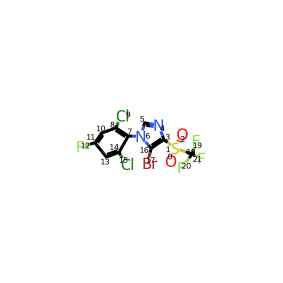 O=S(=O)(c1ncn(-c2c(Cl)cc(F)cc2Cl)c1Br)C(F)(F)F